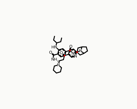 CCC(CC)Nc1cc(C(=O)NC2CC3CCC(C2)N3c2ccc(C(=O)CCN3CCCCC3)cn2)ccc1C(N)=O